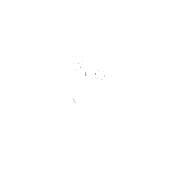 Cn1cnc(C2CC3CC(O)(C#C[C@](C)(O)C(F)F)CC3C2)c1C(=O)Nc1ccc(F)c(Cl)c1